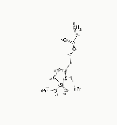 C=CC(=O)OCCC[SiH2][Si](OCCC)(OCCC)OCCC